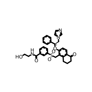 O=C(NCCO)c1cccc(S(=O)(=O)Cc2c(O[C@H](Cn3ccnc3)c3ccccc3)ccc3c2CCCC3=O)c1